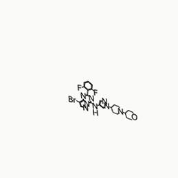 Fc1cccc(F)c1-c1nc(Nc2cnn(C3CCN(C4CCOCC4)CC3)c2)n2ncc(Br)c2n1